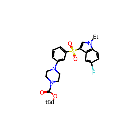 CCn1cc(S(=O)(=O)c2cccc(N3CCN(C(=O)OC(C)(C)C)CC3)c2)c2cc(F)ccc21